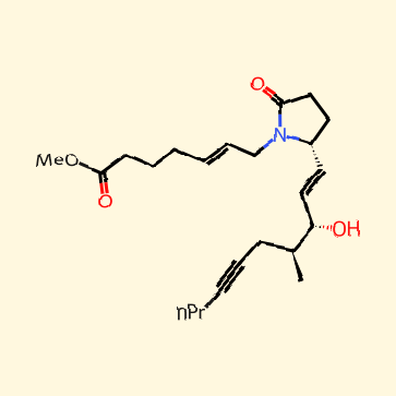 CCCC#CC[C@H](C)[C@@H](O)C=C[C@H]1CCC(=O)N1CC=CCCCC(=O)OC